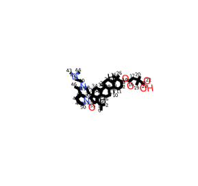 CC(C)C1=C2[C@H]3CCC4[C@@]5(C)CC[C@H](OC(=O)CC(C)(C)C(=O)O)C(C)(C)[C@@H]5CC[C@@]4(C)[C@]3(C)CC[C@@]2(CCN(CCN(C)C)C(C)c2cccnc2)CC1=O